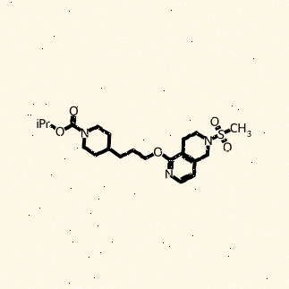 CC(C)OC(=O)N1CCC(CCCOc2nccc3c2CCN(S(C)(=O)=O)C3)CC1